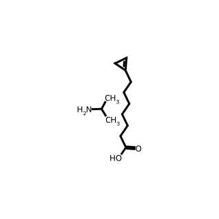 CC(C)N.O=C(O)CCCCCCC1=CC1